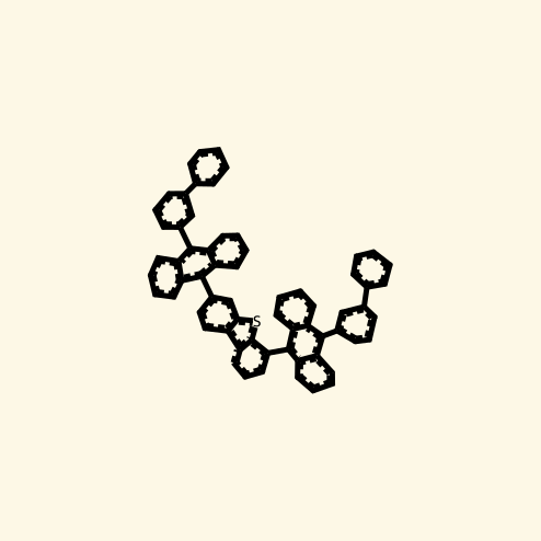 c1ccc(-c2cccc(-c3c4ccccc4c(-c4ccc5c(c4)sc4c(-c6c7ccccc7c(-c7cccc(-c8ccccc8)c7)c7ccccc67)cccc45)c4ccccc34)c2)cc1